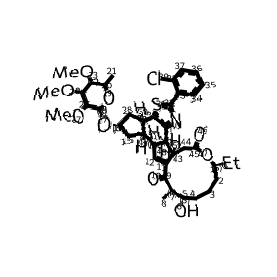 CC[C@H]1CCC[C@H](O)[C@@H](C)C(=O)C2=C[C@H]3[C@@H]4C[C@H](O[C@@H]5OC(C)[C@H](OC)C(OC)C5OC)C[C@H]4c4sc(-c5ccccc5Cl)nc4[C@H]3[C@@H]2CC(=O)O1